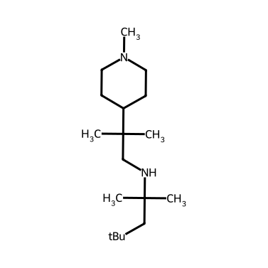 CN1CCC(C(C)(C)CNC(C)(C)CC(C)(C)C)CC1